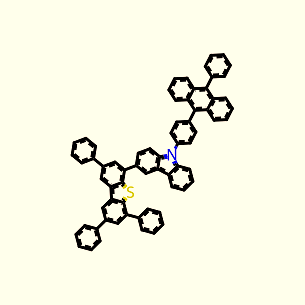 c1ccc(-c2cc(-c3ccccc3)c3sc4c(-c5ccc6c(c5)c5ccccc5n6-c5ccc(-c6c7ccccc7c(-c7ccccc7)c7ccccc67)cc5)cc(-c5ccccc5)cc4c3c2)cc1